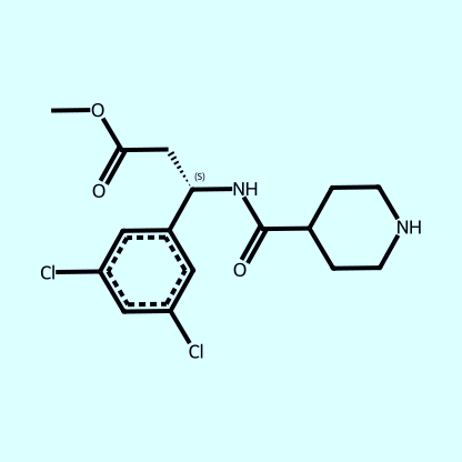 COC(=O)C[C@H](NC(=O)C1CCNCC1)c1cc(Cl)cc(Cl)c1